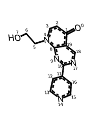 O=c1ccn(CCO)c2nc(-c3ccncc3)ncc12